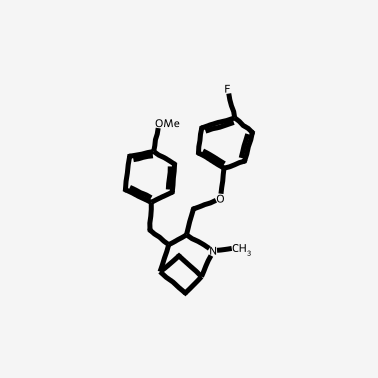 COc1ccc(CC2C3CC(C3)N(C)C2COc2ccc(F)cc2)cc1